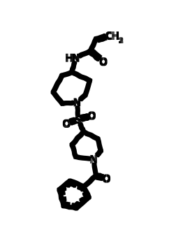 C=CC(=O)NC1CCCN(S(=O)(=O)C2CCN(C(=O)c3ccccc3)CC2)CC1